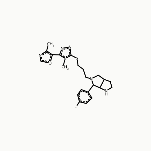 Cc1ncoc1-c1nnc(SCCCN2CC3CCNC3C2c2ccc(F)cc2)n1C